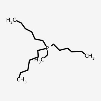 CCCCCC[P+](CC)(CCCCCC)CCCCCC